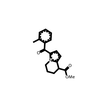 COC(=O)C1CCCn2c(C(=O)c3ccccc3C)ccc21